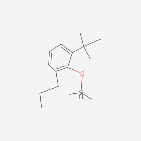 CCCc1cccc(C(C)(C)C)c1O[SiH](C)C